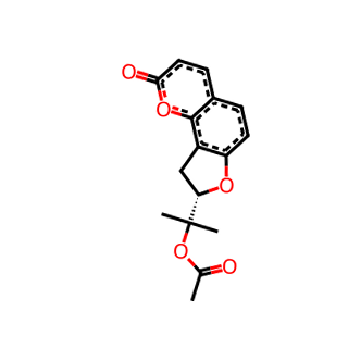 CC(=O)OC(C)(C)[C@@H]1Cc2c(ccc3ccc(=O)oc23)O1